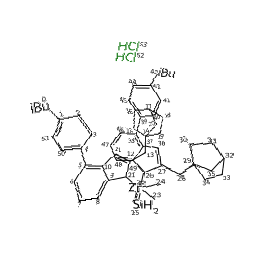 CCC(C)c1ccc(-c2cccc3c2C=C(CC24CCC(CC2)C4)[CH]3[Zr]([CH3])([CH3])(=[SiH2])[CH]2C(CC34CCC(CC3)C4)=Cc3c(-c4ccc(C(C)CC)cc4)cccc32)cc1.Cl.Cl